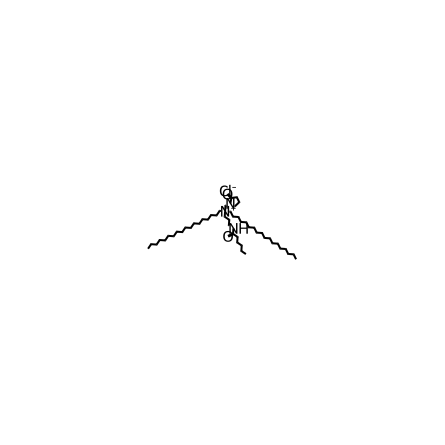 CCCCCCCCCCCCCCCCCC[N+](CCCCCCCCCCCCCCCCCC)(CCCNC(=O)CCCCC)CN1CCCC1=O.[Cl-]